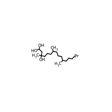 CC(C)CCCC(C)CCCC(C)CCCC(C)(O)CC(O)O